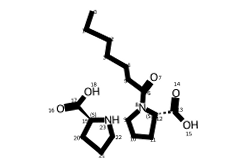 CCCCCCC(=O)N1CCC[C@H]1C(=O)O.O=C(O)[C@@H]1CCCN1